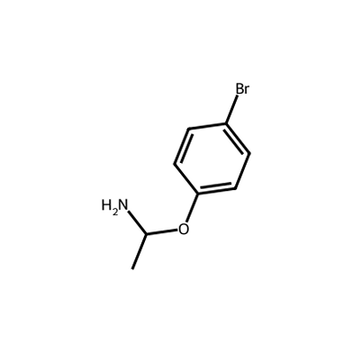 CC(N)Oc1ccc(Br)cc1